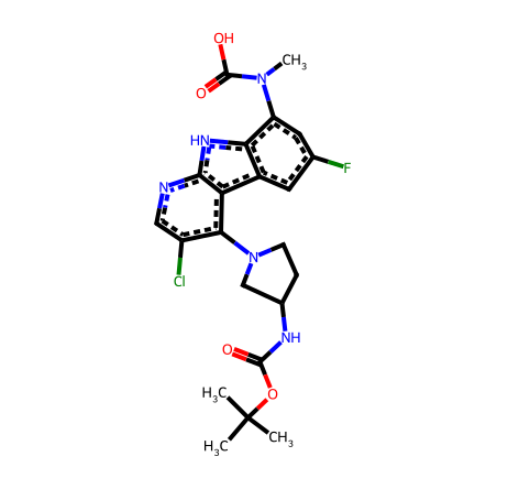 CN(C(=O)O)c1cc(F)cc2c1[nH]c1ncc(Cl)c(N3CCC(NC(=O)OC(C)(C)C)C3)c12